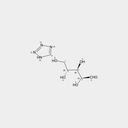 O=C[C@@H](O)[C@H](O)[C@H](O)CO.c1nnn[nH]1